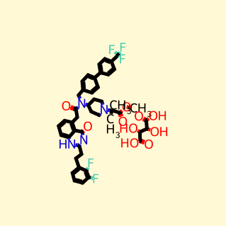 COC(=O)C(C)(C)N1CCC(N(Cc2ccc(-c3ccc(C(F)(F)F)cc3)cc2)C(=O)Cc2cccc3[nH]c(CCc4cccc(F)c4F)nc(=O)c23)CC1.O=C(O)C(O)C(O)C(=O)O